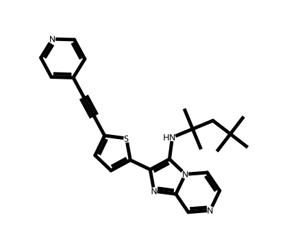 CC(C)(C)CC(C)(C)Nc1c(-c2ccc(C#Cc3ccncc3)s2)nc2cnccn12